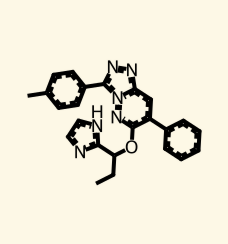 CCC(Oc1nn2c(-c3ccc(C)cc3)nnc2cc1-c1ccccc1)c1ncc[nH]1